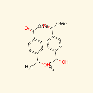 COC(=O)c1ccc(C(C)O)cc1.COC(=O)c1ccc(C(C)O)cc1